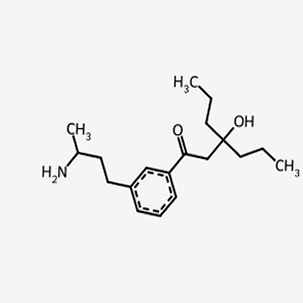 CCCC(O)(CCC)CC(=O)c1cccc(CCC(C)N)c1